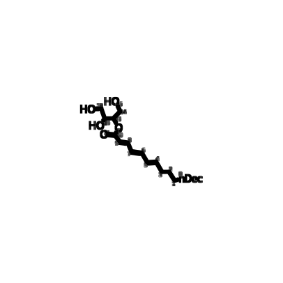 CCCCCCCCCCCCCC=CC=CC=CC(=O)OC(CO)C(O)CO